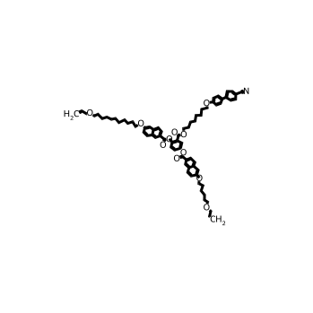 C=CCOCCCCCCCCCCCOc1ccc2cc(C(=O)Oc3ccc(OC(=O)c4ccc5cc(OCCCCCCOCC=C)ccc5c4)cc3C(=O)OCCCCCCCCOc3ccc(-c4ccc(C#N)cc4)cc3)ccc2c1